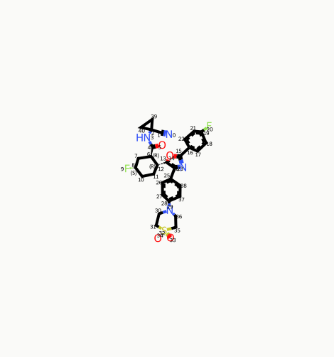 N#CC1(NC(=O)[C@@H]2C[C@@H](F)CC[C@H]2c2oc(-c3ccc(F)cc3)nc2-c2ccc(N3CCS(=O)(=O)CC3)cc2)CC1